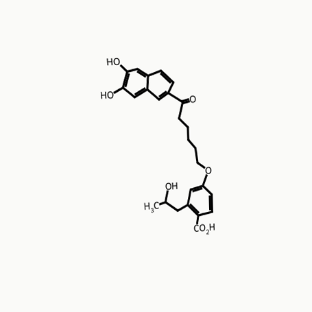 CC(O)Cc1cc(OCCCCCC(=O)c2ccc3cc(O)c(O)cc3c2)ccc1C(=O)O